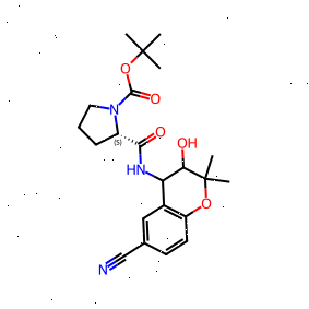 CC(C)(C)OC(=O)N1CCC[C@H]1C(=O)NC1c2cc(C#N)ccc2OC(C)(C)C1O